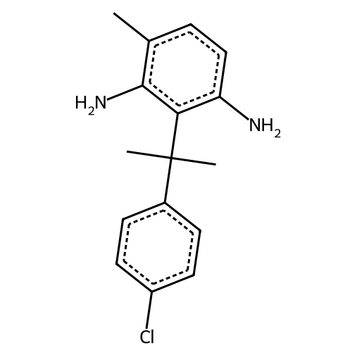 Cc1ccc(N)c(C(C)(C)c2ccc(Cl)cc2)c1N